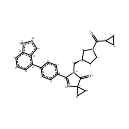 O=C(C1CC1)N1CC[C@@H](CN2C(=O)C3(CC3)N=C2c2ccc(-c3cccc4[nH]ncc34)cc2)C1